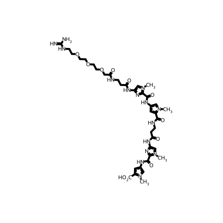 Cn1cc(NC(=O)c2nc(NC(=O)CCNC(=O)c3cc(NC(=O)c4nc(NC(=O)CCNC(=O)COCCOCCOCCNC(=N)N)cn4C)cn3C)cn2C)cc1C(=O)O